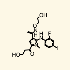 C=C(NOCCO)c1cc(C(=O)CCO)n(C)c1Nc1ccc(I)cc1F